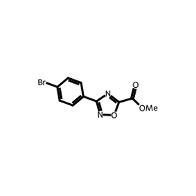 COC(=O)c1nc(-c2ccc(Br)cc2)no1